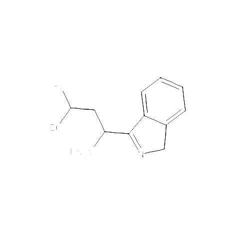 CCC(CC)CC(C(=O)O)C1=NCc2ccccc21